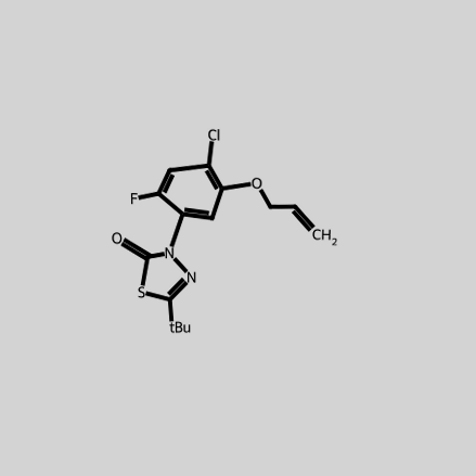 C=CCOc1cc(-n2nc(C(C)(C)C)sc2=O)c(F)cc1Cl